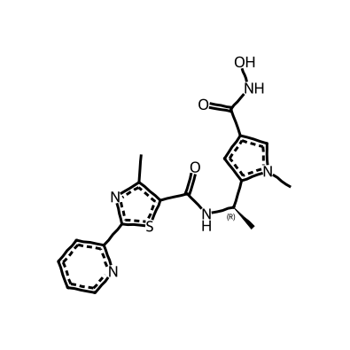 Cc1nc(-c2ccccn2)sc1C(=O)N[C@H](C)c1cc(C(=O)NO)cn1C